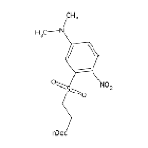 CCCCCCCCCCCCS(=O)(=O)c1cc(N(C)C)ccc1[N+](=O)[O-]